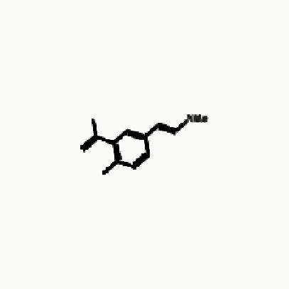 C=C(C)c1cc(/C=C/NC)ccc1C